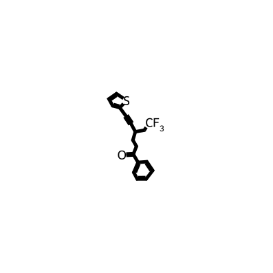 O=C(CCC(C#Cc1cccs1)CC(F)(F)F)c1ccccc1